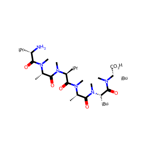 CC[C@H](C)[C@@H](C(=O)O)N(C)C(=O)[C@H]([C@@H](C)CC)N(C)C(=O)[C@H](C)N(C)C(=O)[C@H](C(C)C)N(C)C(=O)[C@H](C)N(C)C(=O)[C@@H](N)C(C)C